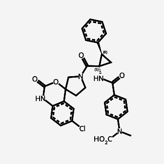 CN(C(=O)O)c1ccc(C(=O)N[C@@]2(C(=O)N3CCC4(C3)OC(=O)Nc3ccc(Cl)cc34)C[C@@H]2c2ccccc2)cc1